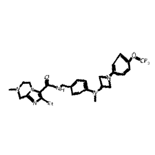 CCc1nc2n(c1C(=O)NCc1ccc(N(C)C3CN(c4ccc(OC(F)(F)F)cc4)C3)cc1)CCN(C)C2